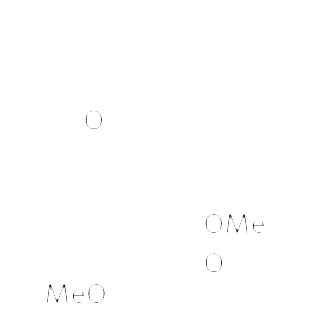 COC(=O)C1CC2C=CC1(C(C)OC)O2